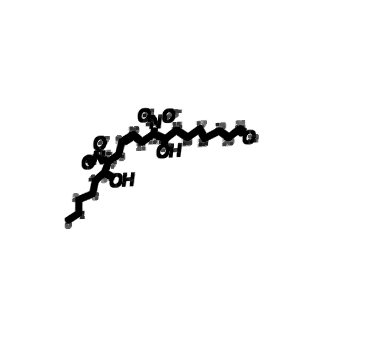 CCCCCC(O)C(C/C=C\CC(C(O)CCCCCCC=O)[N+](=O)[O-])[N+](=O)[O-]